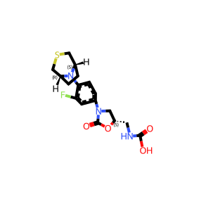 O=C(O)NC[C@H]1CN(c2ccc(N3[C@@H]4CC[C@H]3CSC4)c(F)c2)C(=O)O1